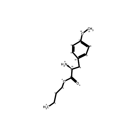 CCCCOC(=O)[C@@H](N)Cc1ccc(OC)cc1